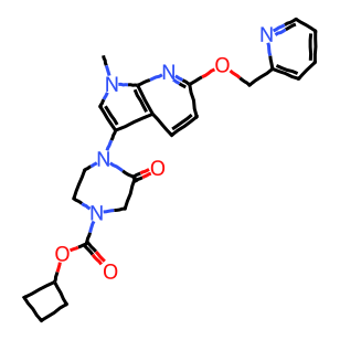 Cn1cc(N2CCN(C(=O)OC3CCC3)CC2=O)c2ccc(OCc3ccccn3)nc21